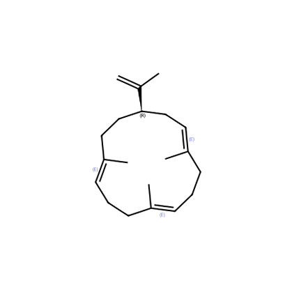 C=C(C)[C@H]1C/C=C(\C)CC/C=C(\C)CC/C=C(\C)CC1